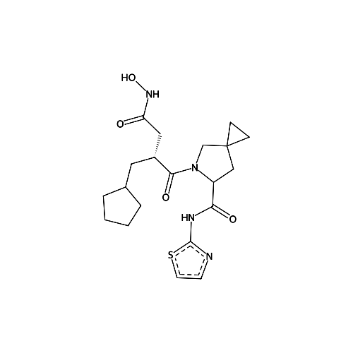 O=C(C[C@@H](CC1CCCC1)C(=O)N1CC2(CC2)CC1C(=O)Nc1nccs1)NO